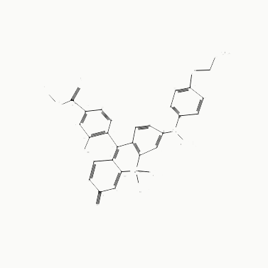 COCOc1ccc(N(C)c2ccc3c(c2)[Si](C)(C)C2=CC(=O)C=CC2=C3c2ccc(C(=O)OC(C)(C)C)cc2C)cc1